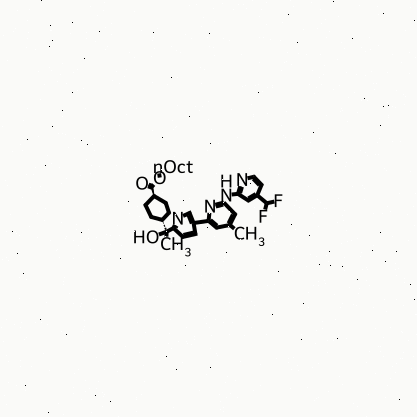 CCCCCCCCOC(=O)[C@H]1CC[C@H](C(C)(O)c2ccc(-c3cc(C)cc(Nc4cc(C(F)F)ccn4)n3)cn2)CC1